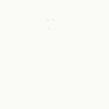 O=C(O)c1ccc(Cc2ccc3ccc(C(=O)OCn4cnnc4)cc3c2)cc1